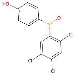 [O-][S+](c1ccc(O)cc1)c1cc(Cl)c(Cl)cc1Cl